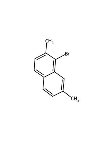 Cc1ccc2ccc(C)c(Br)c2c1